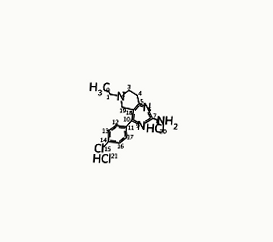 CCN1CCc2nc(N)nc(-c3ccc(Cl)cc3)c2C1.Cl.Cl